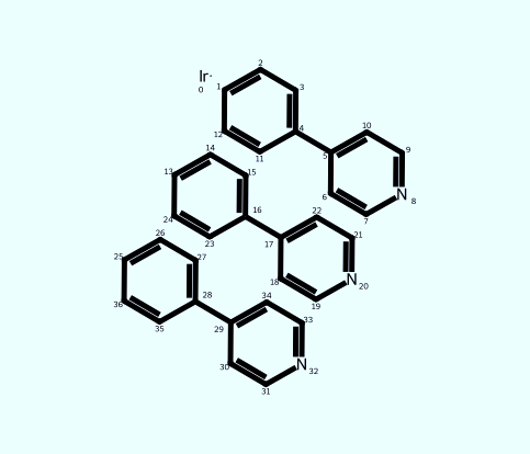 [Ir].c1ccc(-c2ccncc2)cc1.c1ccc(-c2ccncc2)cc1.c1ccc(-c2ccncc2)cc1